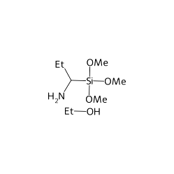 CCC(N)[Si](OC)(OC)OC.CCO